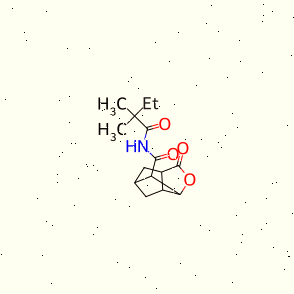 CCC(C)(C)C(=O)NC(=O)C1C2CC3C(=O)OC1C3C2